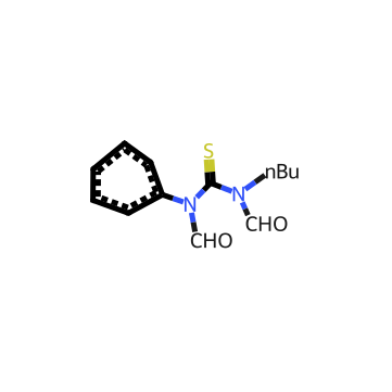 CCCCN(C=O)C(=S)N(C=O)c1ccccc1